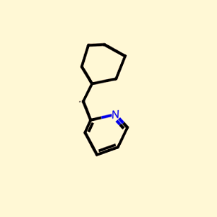 [CH](c1ccccn1)C1CCCCC1